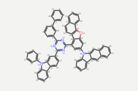 c1ccc(-c2cccc(-c3nc(-c4ccc5c6ccccc6n(-c6ccccc6)c5c4)nc(-c4cc(-n5c6ccccc6c6cc7ccccc7cc65)cc5oc6c7ccccc7ccc6c45)n3)c2)cc1